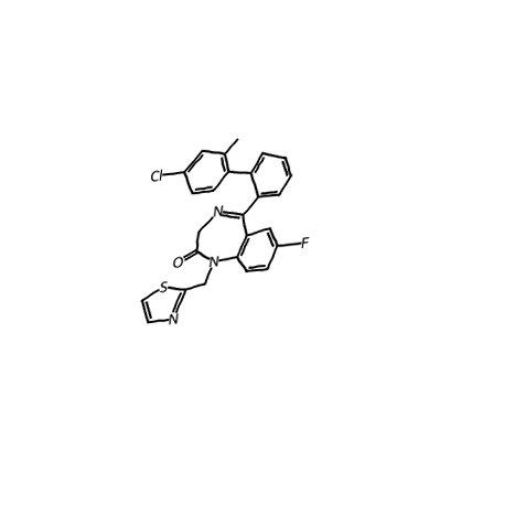 Cc1cc(Cl)ccc1-c1ccccc1C1=NCC(=O)N(Cc2nccs2)c2ccc(F)cc21